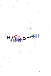 C[C@H](O)c1nccn1Cc1cc(-c2ccc(C#CC#CC3CNC3)cc2)on1